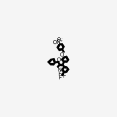 O=C(c1ccccc1)c1cnc2c(C(F)(F)F)cccc2c1-c1cccc(OCc2ccc([N+](=O)[O-])cc2)c1